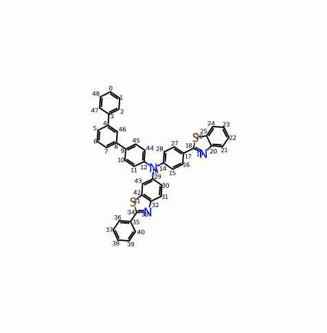 c1ccc(-c2cccc(-c3ccc(N(c4ccc(-c5nc6ccccc6s5)cc4)c4ccc5nc(-c6ccccc6)sc5c4)cc3)c2)cc1